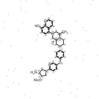 CO[C@H]1CN(c2ccc(Oc3ccc([C@H]4CCN5[C@@H](C4)CN(c4ccc(C#N)c6ncccc46)C[C@H]5C)cc3)cn2)C[C@H]1N